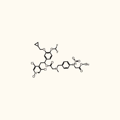 CN(CC(=O)OC(Cc1c(Cl)c[n+]([O-])cc1Cl)c1ccc(OC(F)F)c(OCC2CC2)c1)Cc1ccc(N(CC(=O)OC(C)(C)C)[SH](=O)=O)cc1